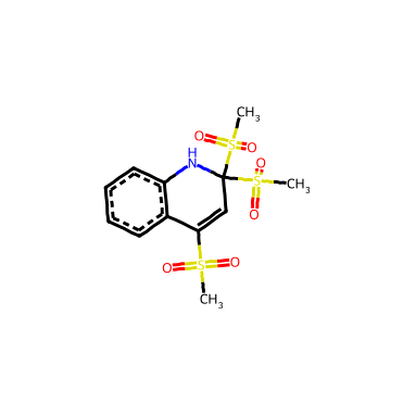 CS(=O)(=O)C1=CC(S(C)(=O)=O)(S(C)(=O)=O)Nc2ccccc21